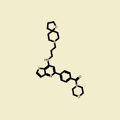 O=C(c1ccc(-c2cc(NCCCN3CCC4(CCCO4)CC3)c3sccc3n2)cc1)N1CCOCC1